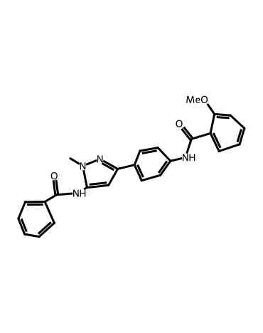 COc1ccccc1C(=O)Nc1ccc(-c2cc(NC(=O)c3ccccc3)n(C)n2)cc1